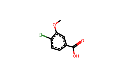 COc1cc(C(=O)O)ccc1Cl